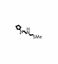 CSCCNCCN(C)C1CCCC1